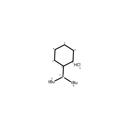 CC(C)(C)P(C1CCCCC1)C(C)(C)C.Cl